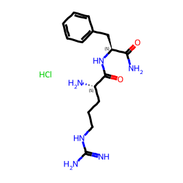 Cl.N=C(N)NCCC[C@H](N)C(=O)N[C@@H](Cc1ccccc1)C(N)=O